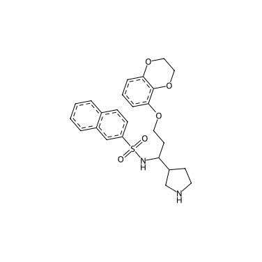 O=S(=O)(NC(CCOc1cccc2c1OCCO2)C1CCNC1)c1ccc2ccccc2c1